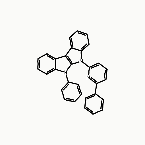 c1ccc(-c2cccc(-n3c4ccccc4c4c5ccccc5n(-c5ccccc5)c43)n2)cc1